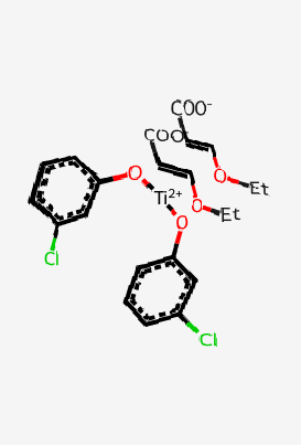 CCOC=CC(=O)[O-].CCOC=CC(=O)[O-].Clc1cccc([O][Ti+2][O]c2cccc(Cl)c2)c1